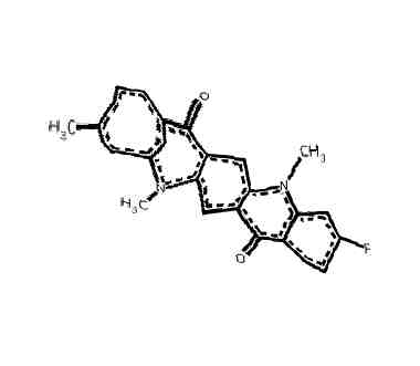 Cc1ccc2c(=O)c3cc4c(cc3n(C)c2c1)c(=O)c1ccc(F)cc1n4C